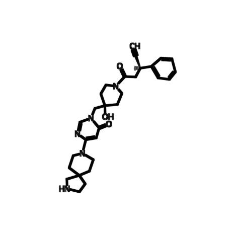 C#C[C@H](CC(=O)N1CCC(O)(Cn2cnc(N3CCC4(CCNC4)CC3)cc2=O)CC1)c1ccccc1